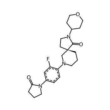 O=C1CCCN1c1ccc(N2CCC[C@]3(CCN(C4CCOCC4)C3=O)C2)c(F)c1